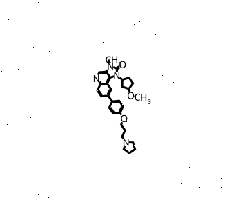 COC1CCC(n2c(=O)n(C)c3cnc4ccc(-c5ccc(OCCCN6CCCC6)cc5)cc4c32)C1